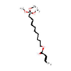 CC=CC(=O)OCCCCCCCCC[Si](OC)(OC)OC